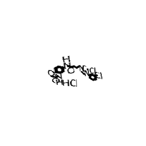 Cl.O=C(CCCN1CCN(c2cccc(Cl)c2Cl)CC1)Nc1ccc2c(c1)NC(=O)CO2